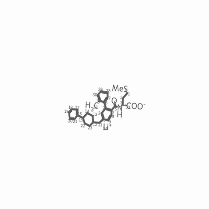 CSCC[C@H](NC(=O)c1ccc(CC2CCC(c3ccccc3)CC2)cc1-c1ccccc1C)C(=O)[O-].[Li+]